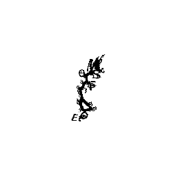 CCOc1ccc(CCCC(F)C(=O)c2nccs2)cc1